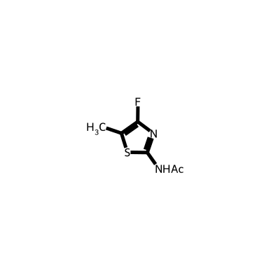 CC(=O)Nc1nc(F)c(C)s1